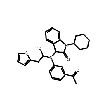 CC(=O)c1cccc(N(C(O)Cc2cccs2)C2C(=O)N(C3CCCCC3)c3ccccc32)c1